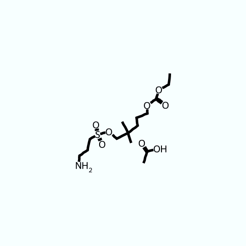 CC(=O)O.CCOC(=O)OCCCC(C)(C)COS(=O)(=O)CCCN